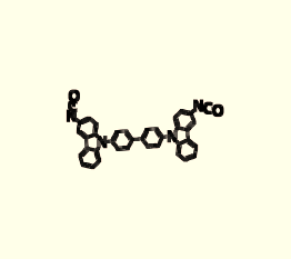 O=C=Nc1ccc2c(c1)c1ccccc1n2-c1ccc(-c2ccc(-n3c4ccccc4c4cc(N=C=O)ccc43)cc2)cc1